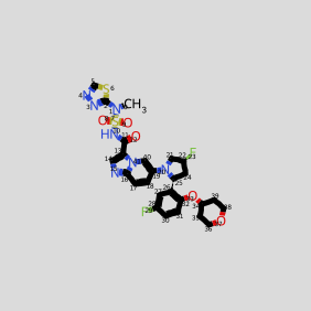 CN(c1nncs1)S(=O)(=O)NC(=O)c1cnc2ccc(N3C[C@@H](F)C[C@@H]3c3cc(F)ccc3OC3CCOCC3)cn12